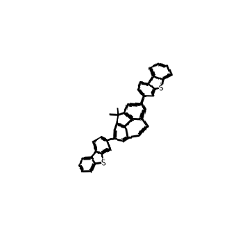 CC1(C)c2cc(-c3ccc4c(c3)sc3ccccc34)cc3ccc4cc(-c5ccc6c(c5)sc5ccccc56)cc1c4c23